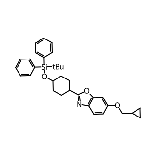 CC(C)(C)[Si](OC1CCC(c2nc3ccc(OCC4CC4)cc3o2)CC1)(c1ccccc1)c1ccccc1